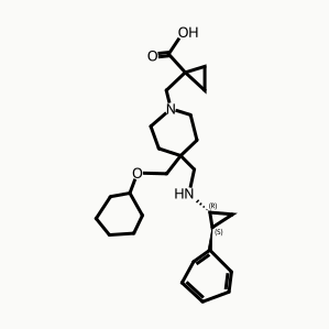 O=C(O)C1(CN2CCC(CN[C@@H]3C[C@H]3c3ccccc3)(COC3CCCCC3)CC2)CC1